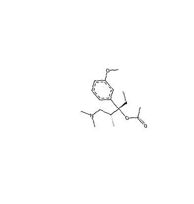 CC[C@](OC(C)=O)(c1cccc(OC)c1)[C@H](C)CN(C)C